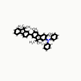 Cc1cc2c(cc1-c1ccc3c(c1)C(C)(C)c1ccccc1-3)C(C)(C)c1cc(N(c3ccccc3)c3ccccc3)c(C)cc1-2